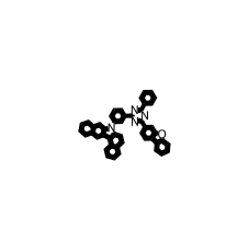 c1ccc(-c2nc(-c3cccc(-n4c5cc6ccccc6cc5c5c6ccccc6ccc54)c3)nc(-c3ccc4c(c3)oc3ccccc34)n2)cc1